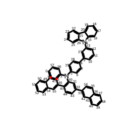 c1ccc(N(c2ccc(-c3cccc(-n4c5ccccc5c5ccccc54)c3)cc2)c2cc(-c3ccc4ccccc4c3)ccc2-c2ccc3ccccc3c2)cc1